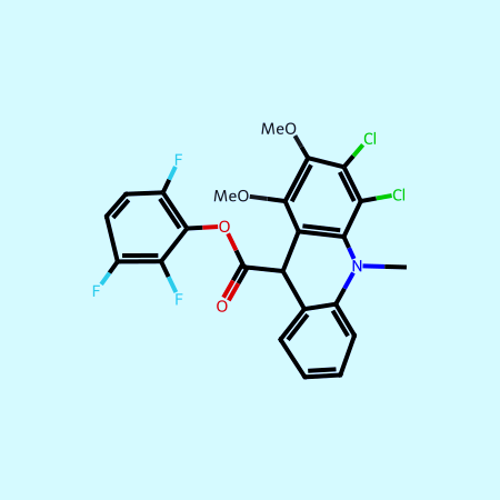 COc1c(Cl)c(Cl)c2c(c1OC)C(C(=O)Oc1c(F)ccc(F)c1F)c1ccccc1N2C